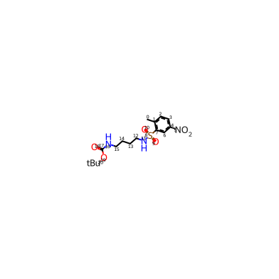 Cc1ccc([N+](=O)[O-])cc1S(=O)(=O)NCCCCNC(=O)OC(C)(C)C